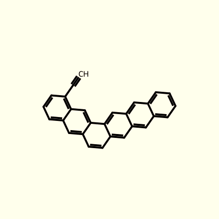 C#Cc1cccc2cc3ccc4cc5cc6ccccc6cc5cc4c3cc12